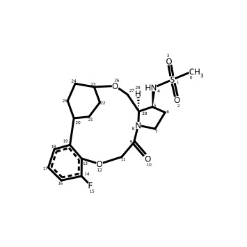 CS(=O)(=O)N[C@H]1CCN2C(=O)COc3c(F)cccc3C3CCC(CC3)OC[C@@H]12